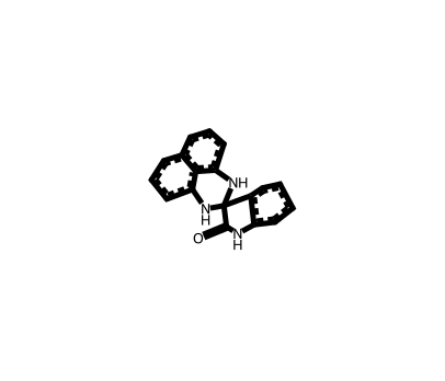 O=C1Nc2ccccc2C12Nc1cccc3cccc(c13)N2